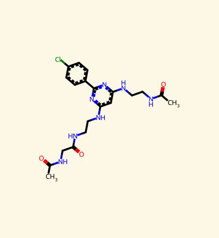 CC(=O)NCCNc1cc(NCCNC(=O)CNC(C)=O)nc(-c2ccc(Cl)cc2)n1